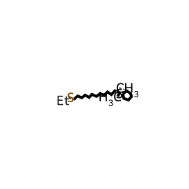 CCSCCCCCCCCCCCC[Si](C)(C)C1CCCCC1